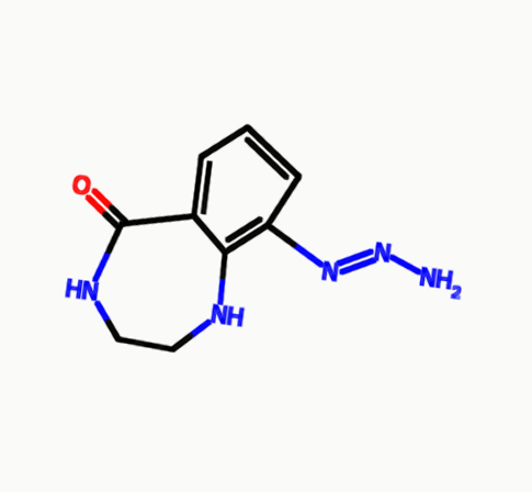 NN=Nc1cccc2c1NCCNC2=O